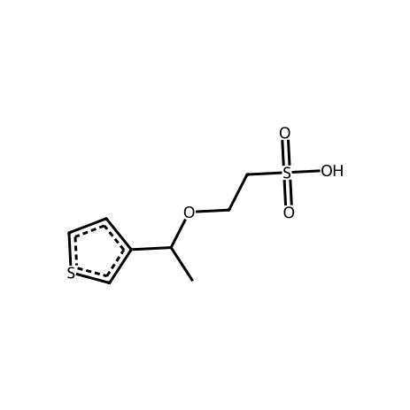 CC(OCCS(=O)(=O)O)c1ccsc1